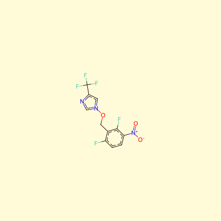 O=[N+]([O-])c1ccc(F)c(COn2cnc(C(F)(F)F)c2)c1F